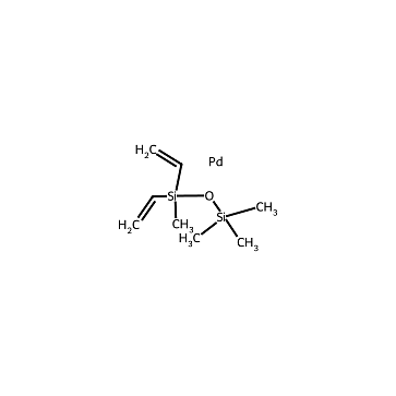 C=C[Si](C)(C=C)O[Si](C)(C)C.[Pd]